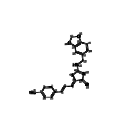 CC(C)(C)c1ccc(C=CC=C2SC(NCc3ccc4c(c3)OCO4)=NC2=O)cc1